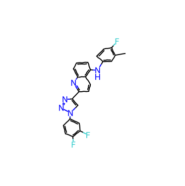 Cc1cc(Nc2cccc3nc(-c4cn(-c5ccc(F)c(F)c5)nn4)ccc23)ccc1F